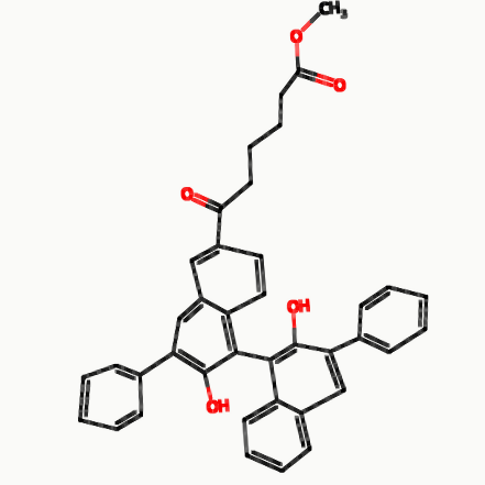 COC(=O)CCCCC(=O)c1ccc2c(-c3c(O)c(-c4ccccc4)cc4ccccc34)c(O)c(-c3ccccc3)cc2c1